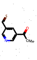 COC(=O)c1cncc(C=S)c1